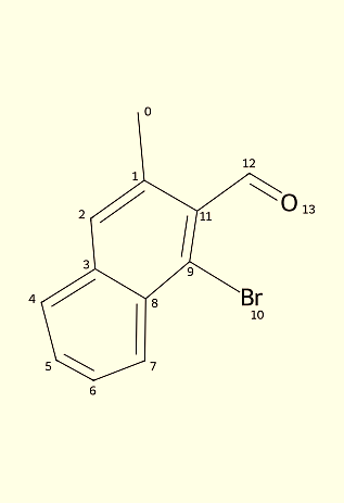 Cc1cc2ccccc2c(Br)c1C=O